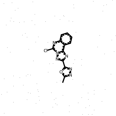 Cc1nnc(-c2nc3c4ccccc4nc(Cl)n3n2)o1